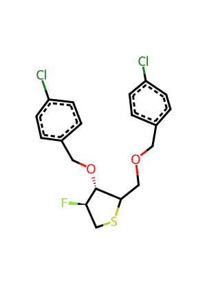 F[C@@H]1CSC(COCc2ccc(Cl)cc2)[C@H]1OCc1ccc(Cl)cc1